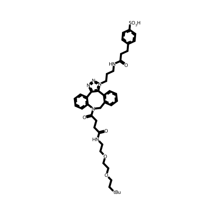 CC(C)(C)CCOCCOCCNC(=O)CCC(=O)N1Cc2ccccc2-c2c(nnn2CCCNC(=O)CCc2ccc(S(=O)(=O)O)cc2)-c2ccccc21